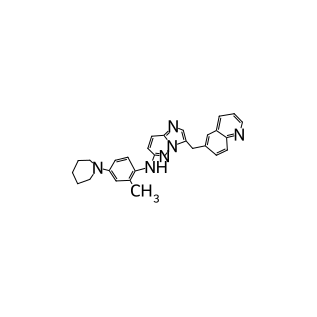 Cc1cc(N2CCCCC2)ccc1Nc1ccc2ncc(Cc3ccc4ncccc4c3)n2n1